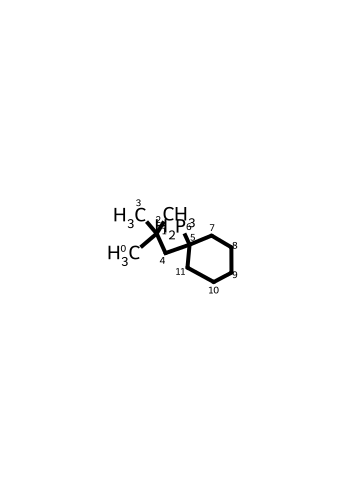 CC(C)(C)CC1(P)CCCCC1